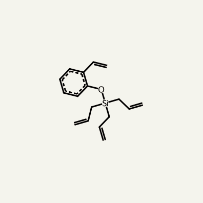 C=CC[Si](CC=C)(CC=C)Oc1ccccc1C=C